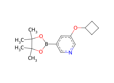 CC1(C)OB(c2cncc(OC3CCC3)c2)OC1(C)C